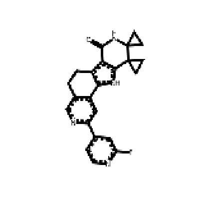 O=C1NC2(CC2)C2(CC2)c2[nH]c3c(c21)CCc1cnc(-c2ccnc(F)c2)cc1-3